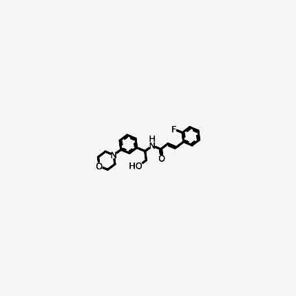 O=C(C=Cc1ccccc1F)NC(CO)c1cccc(N2CCOCC2)c1